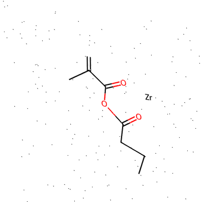 C=C(C)C(=O)OC(=O)CCC.[Zr]